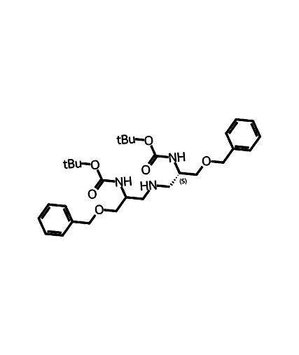 CC(C)(C)OC(=O)NC(CNC[C@@H](COCc1ccccc1)NC(=O)OC(C)(C)C)COCc1ccccc1